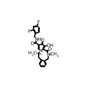 C[C@@H]1Cc2ccccc2CN(C)C(=O)c2c(O)c(=O)c(C(=O)NCc3ccc(F)cc3F)cn21